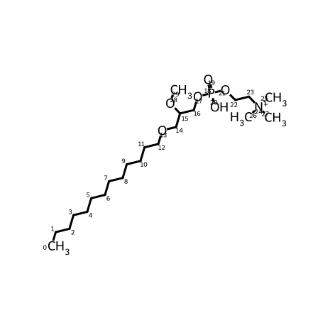 CCCCCCCCCCCCCOCC(COP(=O)(O)OCC[N+](C)(C)C)OC